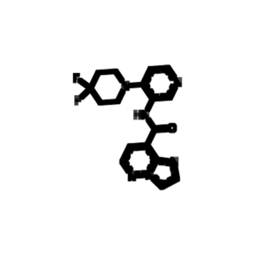 O=C(Nc1cnccc1N1CCC(F)(F)CC1)c1ccnn2ccnc12